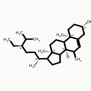 CC[C@H](CC[C@@H](C)C1CCC2[C@@H]3C(C)C=C4C[C@@H](O)CC[C@]4(C)C3CC[C@@]21C)C(C)C